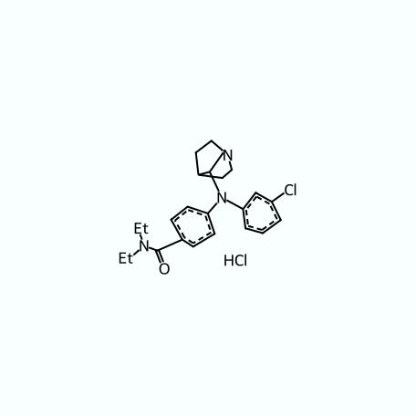 CCN(CC)C(=O)c1ccc(N(c2cccc(Cl)c2)C2CN3CCC2CC3)cc1.Cl